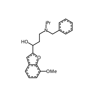 COc1cccc2cc(C(O)CCN(Cc3ccccc3)C(C)C)oc12